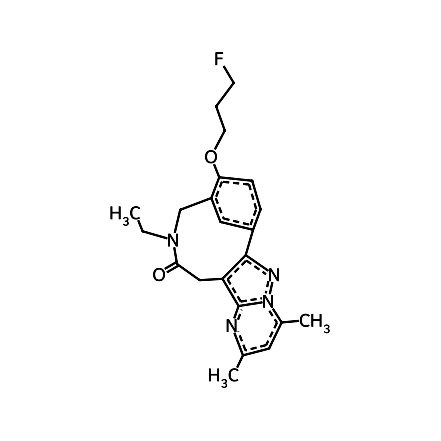 CCN1Cc2cc(ccc2OCCCF)-c2nn3c(C)cc(C)nc3c2CC1=O